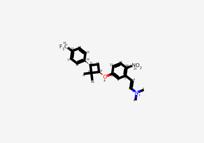 CN(C)/C=C/c1cc(O[C@H]2C[C@@H](c3ccc(C(F)(F)F)cc3)C2(C)C)ccc1[N+](=O)[O-]